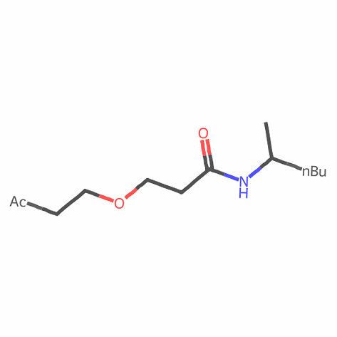 CCCCC(C)NC(=O)CCOCCC(C)=O